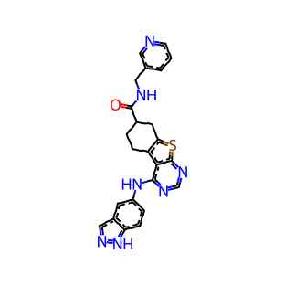 O=C(NCc1cccnc1)C1CCc2c(sc3ncnc(Nc4ccc5[nH]ncc5c4)c23)C1